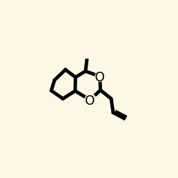 C=CCC1OC(C)C2CCCCC2O1